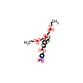 CCCOC(=O)OCCOP(=O)(OCCOC(=O)OCCC)C(F)(F)c1ccc2sc(C(=O)Oc3ccc([N+](=O)[O-])cc3)cc2c1